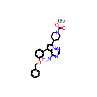 CC(C)(C)OC(=O)N1CCC(c2cc(-c3cccc(OCc4ccccc4)c3)c3c(N)ncnn23)CC1